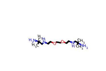 CC(C)(N)CNCCOCCOCCNCC(C)(C)N